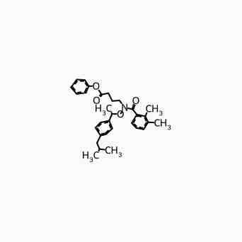 Cc1cccc(C(=O)N(CCCC(=O)Oc2ccccc2)OC(C)c2ccc(CC(C)C)cc2)c1C